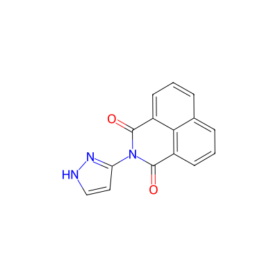 O=C1c2cccc3cccc(c23)C(=O)N1c1cc[nH]n1